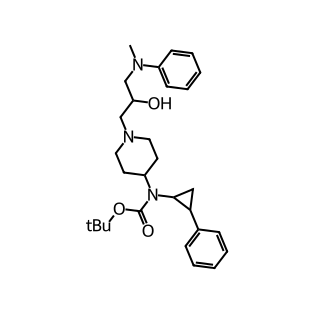 CN(CC(O)CN1CCC(N(C(=O)OC(C)(C)C)C2CC2c2ccccc2)CC1)c1ccccc1